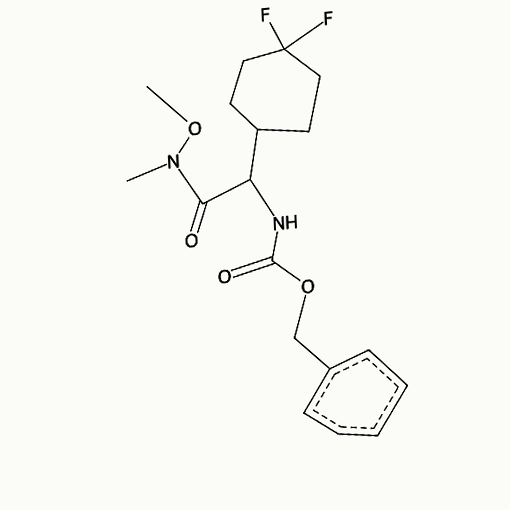 CON(C)C(=O)C(NC(=O)OCc1ccccc1)C1CCC(F)(F)CC1